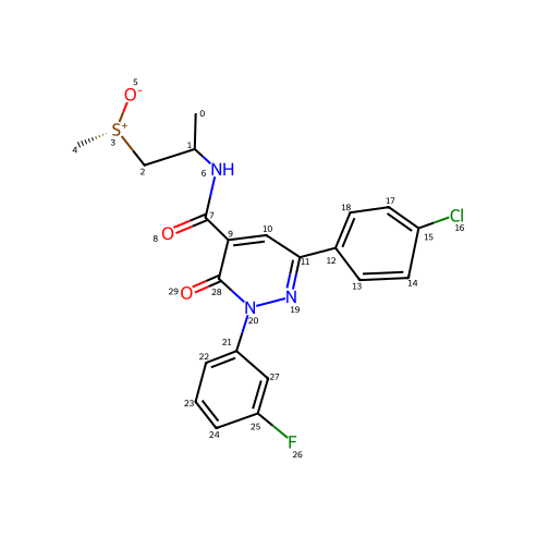 CC(C[S@+](C)[O-])NC(=O)c1cc(-c2ccc(Cl)cc2)nn(-c2cccc(F)c2)c1=O